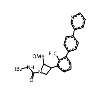 COC1C(c2cccc(-c3ccc(-c4cccnc4)cc3)c2C(F)(F)F)CN1C(=O)NC(C)(C)C